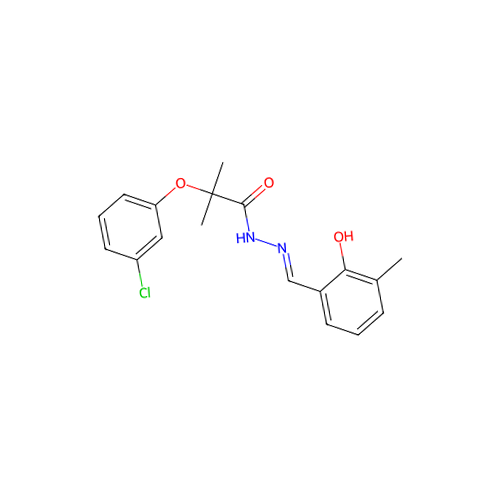 Cc1cccc(C=NNC(=O)C(C)(C)Oc2cccc(Cl)c2)c1O